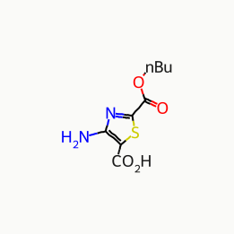 CCCCOC(=O)c1nc(N)c(C(=O)O)s1